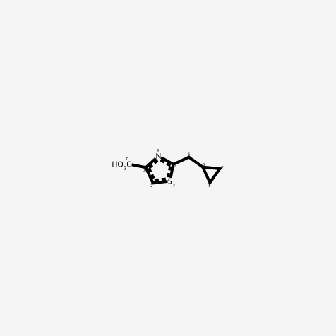 O=C(O)c1csc(CC2CC2)n1